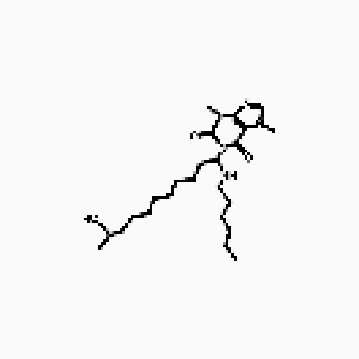 CCCCCCNC(CCCCCCCCC(C)O)n1c(=O)c2c(ncn2C)n(C)c1=O